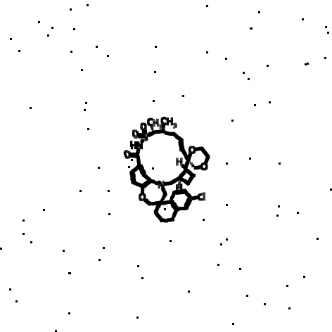 C[C@@H]1[C@@H](C)C/C=C/[C@]2(COCCO2)[C@@H]2CC[C@H]2CN2C[C@@]3(CCCc4cc(Cl)ccc43)COc3ccc(cc32)C(=O)NS1(=O)=O